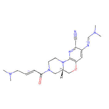 CN(C)/C=N/c1cc2c(nc1C#N)N1CCN(C(=O)/C=C/CN(C)C)C[C@H]1CO2